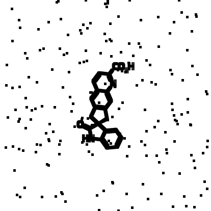 O=C(O)c1ccc2cc3c(cc2n1)C[C@]1(C3)C(=O)Nc2ccccc21